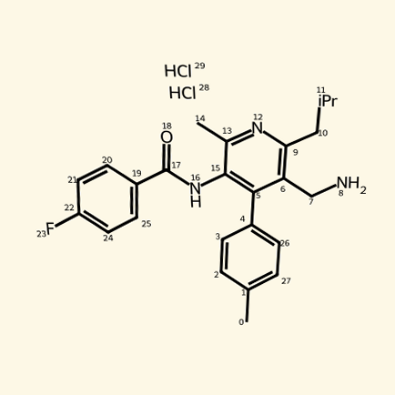 Cc1ccc(-c2c(CN)c(CC(C)C)nc(C)c2NC(=O)c2ccc(F)cc2)cc1.Cl.Cl